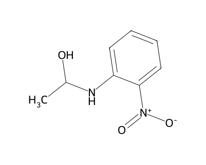 CC(O)Nc1ccccc1[N+](=O)[O-]